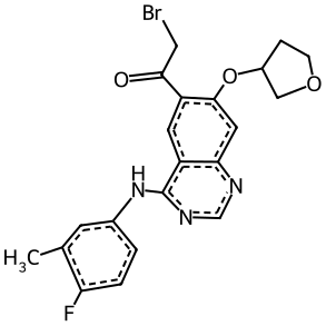 Cc1cc(Nc2ncnc3cc(OC4CCOC4)c(C(=O)CBr)cc23)ccc1F